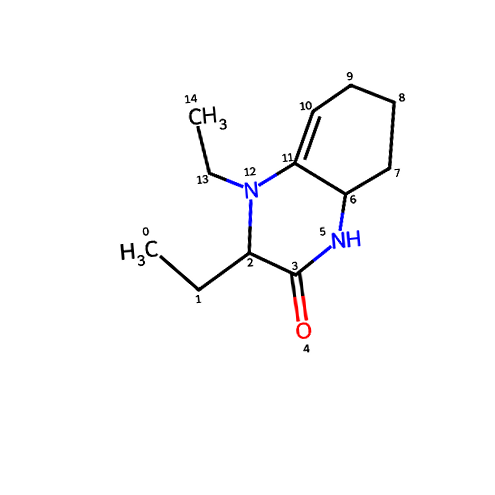 CCC1C(=O)NC2CCCC=C2N1CC